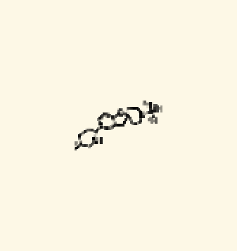 [2H]C([2H])([2H])N1CCC2(CC1)Cc1cc(C3CC[C@H](C)CN3)ccc1O2